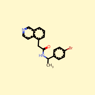 CC(NC(=O)Cc1cccc2cnccc12)c1ccc(Br)cc1